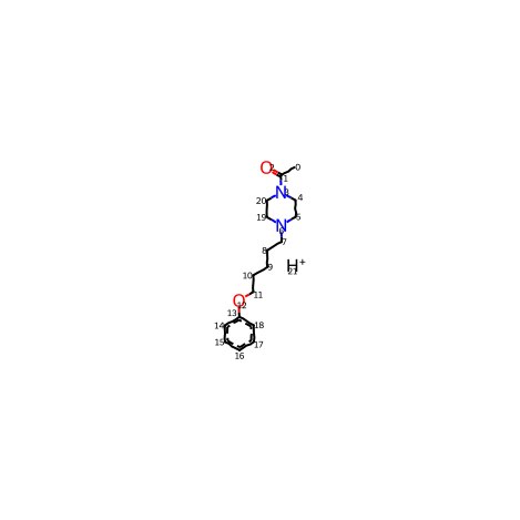 CC(=O)N1CCN(CCCCCOc2ccccc2)CC1.[H+]